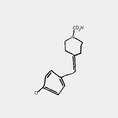 O=C(O)N1CCC(=Cc2ccc(Cl)cc2)CC1